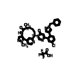 C[C@@H]1CCC[C@H](n2cnc(-c3cc(Cl)ccc3-c3cnn(Cc4ccccc4)c3)cc2=O)c2cc(ccn2)-c2c(cnn2C)NC1=O.O=C(O)C(F)(F)F